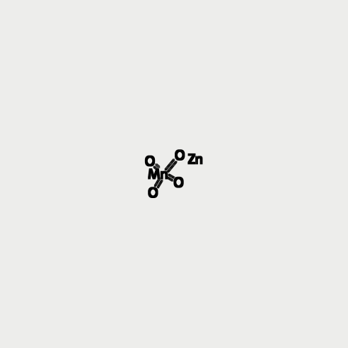 [O]=[Mn](=[O])(=[O])=[O].[Zn]